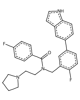 O=C(c1ccc(F)cc1)N(CCN1CCCC1)Cc1cc(-c2ccc3[nH]ccc3c2)ccc1F